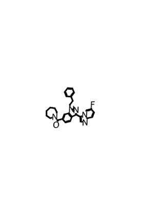 O=C(c1ccc2c(-c3cnc4ccc(F)cn34)nn(CCc3ccccc3)c2c1)N1CCCCCC1